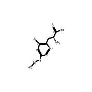 N[C@@H](Cc1ncc(OBO)cc1Cl)C(=O)O